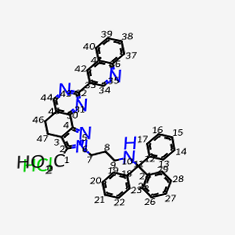 Cl.O=C(O)c1c2c(nn1CCCNC(c1ccccc1)(c1ccccc1)c1ccccc1)-c1nc(-c3cnc4ccccc4c3)ncc1CC2